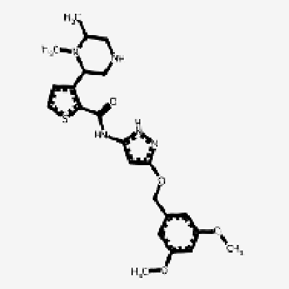 COc1cc(COc2cc(NC(=O)c3sccc3C3CNCC(C)N3C)[nH]n2)cc(OC)c1